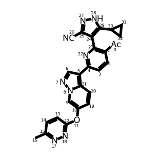 CC(=O)c1ccc(-c2cnn3cc(Oc4ccc(C)nn4)ccc23)nc1-c1c(C#N)n[nH]c1C1CC1